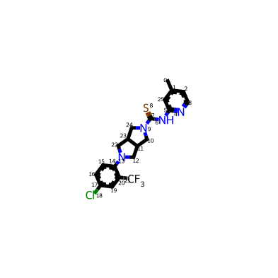 Cc1ccnc(NC(=S)N2CC3CN(c4ccc(Cl)cc4C(F)(F)F)CC3C2)c1